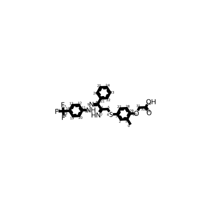 Cc1cc(SCC(=N)/C(=N\Nc2ccc(C(F)(F)F)cc2)c2ccccc2)ccc1OCC(=O)O